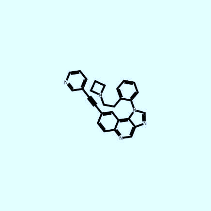 C(#Cc1ccc2ncc3ncn(-c4ccccc4CCN4CCC4)c3c2c1)c1cccnc1